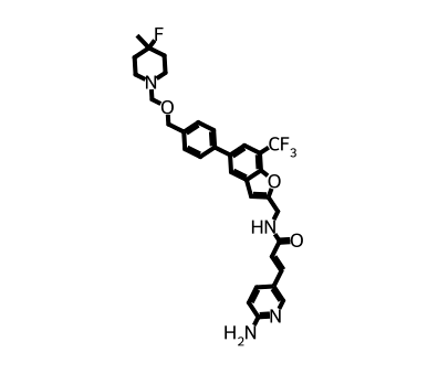 CC1(F)CCN(COCc2ccc(-c3cc(C(F)(F)F)c4oc(CNC(=O)/C=C/c5ccc(N)nc5)cc4c3)cc2)CC1